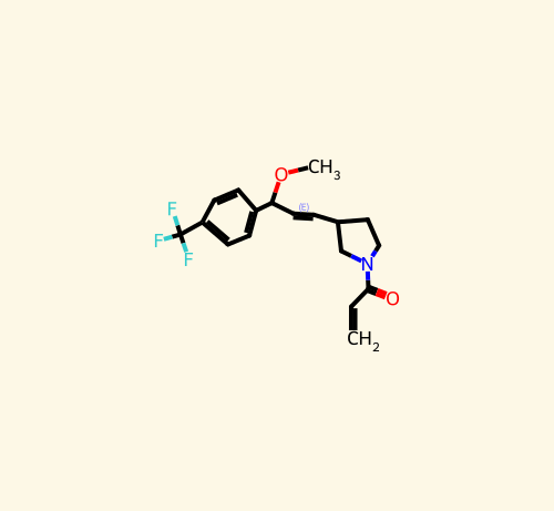 C=CC(=O)N1CCC(/C=C/C(OC)c2ccc(C(F)(F)F)cc2)C1